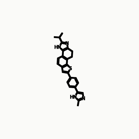 Cc1ncc(-c2ccc(-c3cc4ccc5c(c4s3)CCc3nc(C(C)C)[nH]c3-5)cc2)[nH]1